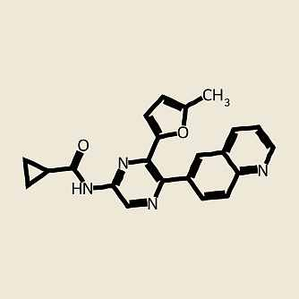 Cc1ccc(-c2nc(NC(=O)C3CC3)cnc2-c2ccc3ncccc3c2)o1